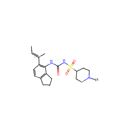 C/C=C(\C)c1ccc2c(c1NC(=O)NS(=O)(=O)C1CCN(CC)CC1)CCC2